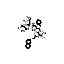 CC[C@H](C)[C@H](NC(=O)C[C@H](O)[C@H](Cc1ccccc1)NC(=O)[C@@H](NC(=O)COc1ccc2ccccc2c1)C(C)C)C(=O)N[C@H](C(=O)O)C(C)C